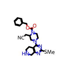 CSc1nc2c(c(N3CCN(C(=O)OCc4ccccc4)C(CC#N)C3)n1)CCNC2